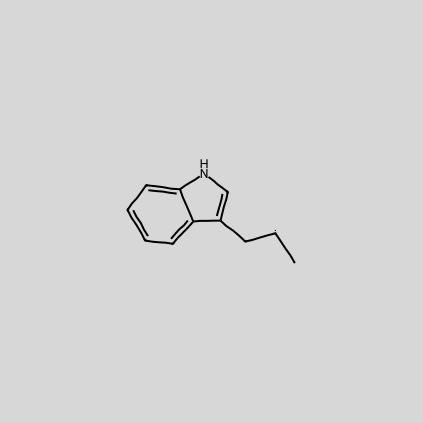 C[CH]Cc1c[nH]c2ccccc12